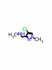 CNCc1nn(C)cc1Cl